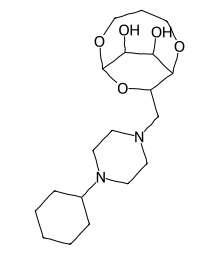 OC1C2OCCCOC(C(CN3CCN(C4CCCCC4)CC3)O2)C1O